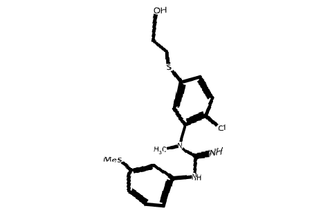 CSc1cccc(NC(=N)N(C)c2cc(SCCO)ccc2Cl)c1